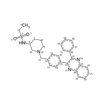 CCS(=O)(=O)NC1CCCN(Cc2ccc(-c3nc4ccccc4nc3-c3ccccc3)cc2)C1